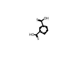 OC(=S)c1cccc(C(O)=S)c1